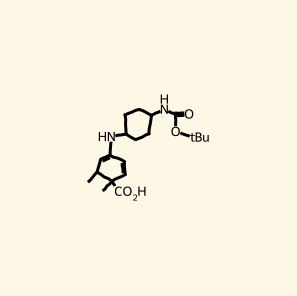 CC1C=C(NC2CCC(NC(=O)OC(C)(C)C)CC2)C=CC1(C)C(=O)O